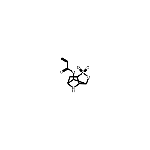 C=CC(=O)OC1C2CC3C(N2)C1OS3(=O)=O